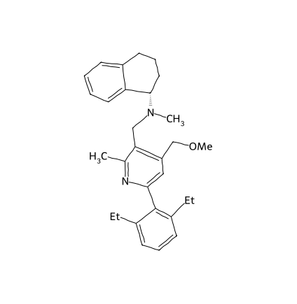 CCc1cccc(CC)c1-c1cc(COC)c(CN(C)[C@H]2CCCc3ccccc32)c(C)n1